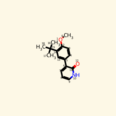 COc1ccc(-c2ccc[nH]c2=O)cc1C(C)(C)C